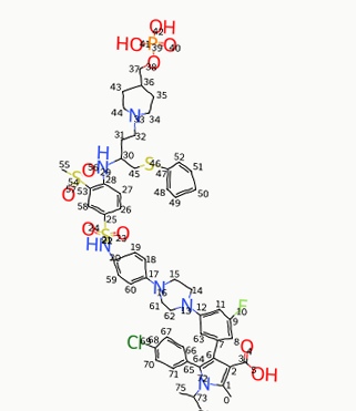 Cc1c(C(=O)O)c(-c2cc(F)cc(N3CCN(c4ccc(NS(=O)(=O)c5ccc(NC(CCN6CCC(COP(=O)(O)O)CC6)CSc6ccccc6)c(S(C)(=O)=O)c5)cc4)CC3)c2)c(-c2ccc(Cl)cc2)n1C(C)C